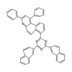 c1ccc(-c2cc(-c3ccccc3)c3c(ccc4c(-c5nc(-c6ccc7ccccc7c6)nc(-c6ccc7ccccc7c6)n5)cccc43)n2)cc1